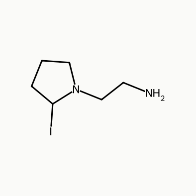 NCCN1CCCC1I